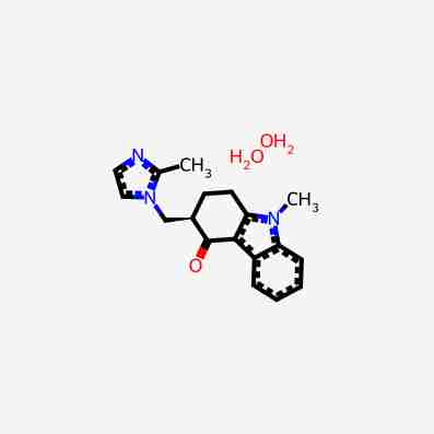 Cc1nccn1C[C@H]1CCc2c(c3ccccc3n2C)C1=O.O.O